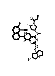 C#Cc1c(F)ccc2cccc(-c3ncc4c(N(C)[C@H]5C[C@H](C)N(C(=O)C=C)C5)nc(OC[C@@]56CCCN5C[C@H](F)C6)nc4c3F)c12